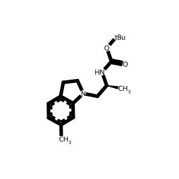 Cc1ccc2c(c1)N(C[C@H](C)NC(=O)OC(C)(C)C)CC2